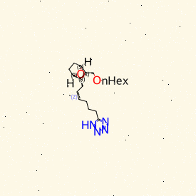 CCCCCCOC[C@H]1[C@@H](C/C=C\CCCc2nnn[nH]2)[C@H]2CC[C@@H]1O2